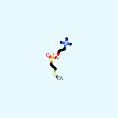 C[N+](C)(C)CCO[PH](=O)CCSC#N